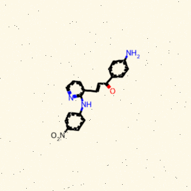 Nc1ccc(C(=O)C=Cc2cccnc2Nc2ccc([N+](=O)[O-])cc2)cc1